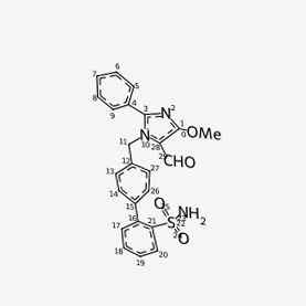 COc1nc(-c2ccccc2)n(Cc2ccc(-c3ccccc3S(N)(=O)=O)cc2)c1C=O